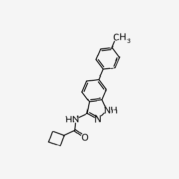 Cc1ccc(-c2ccc3c(NC(=O)C4CCC4)n[nH]c3c2)cc1